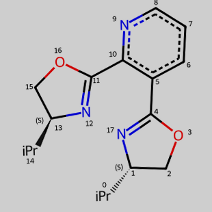 CC(C)[C@H]1COC(c2cccnc2C2=N[C@@H](C(C)C)CO2)=N1